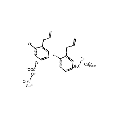 C=CCc1ccccc1[O-].C=CCc1ccccc1[O-].O=C([O-])[O-].O=[C-]O.O=[C-]O.[Ba+2].[Ba+2].[Cd+2]